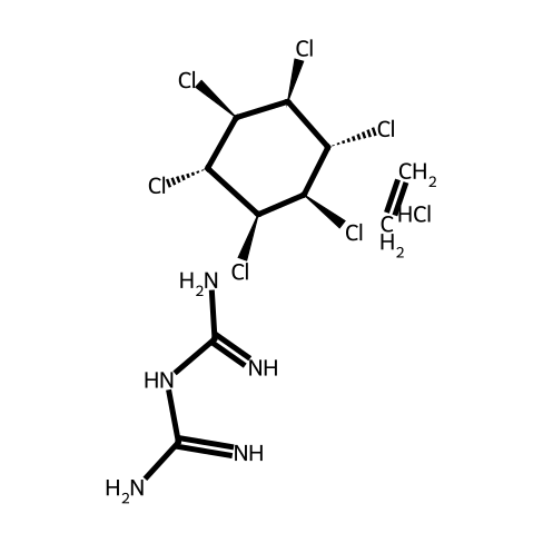 C=C.Cl.Cl[C@H]1[C@H](Cl)[C@@H](Cl)[C@@H](Cl)[C@H](Cl)[C@H]1Cl.N=C(N)NC(=N)N